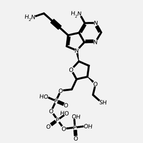 NCC#Cc1cn([C@H]2C[C@@H](OCS)C(COP(=O)(O)OP(=O)(O)OP(=O)(O)O)O2)c2ncnc(N)c12